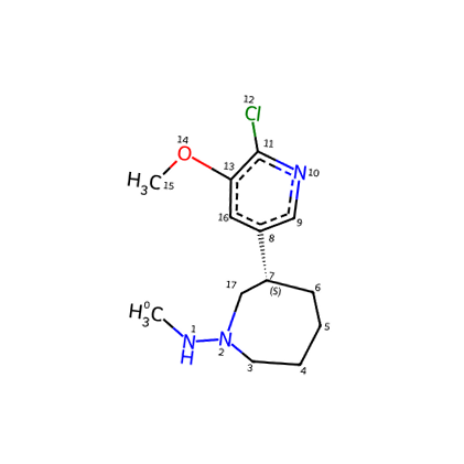 CNN1CCCC[C@@H](c2cnc(Cl)c(OC)c2)C1